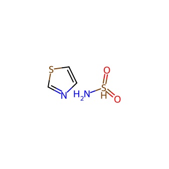 N[SH](=O)=O.c1cscn1